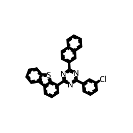 Clc1cccc(-c2nc(-c3ccc4ccccc4c3)nc(-c3cccc4c3sc3ccccc34)n2)c1